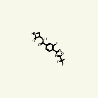 O=C(NC1CNC1=O)c1ccc(-c2noc(C(F)(F)F)n2)c(F)c1